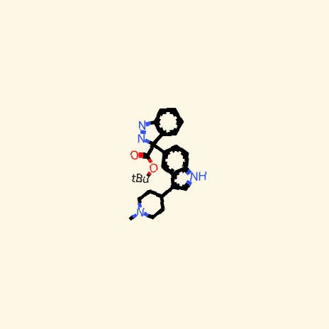 CN1CCC(c2c[nH]c3ccc(C4(C(=O)OC(C)(C)C)N=Nc5ccccc54)cc23)CC1